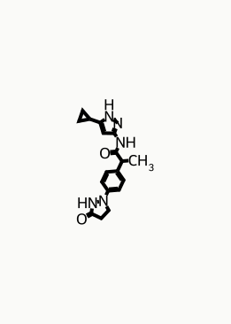 CC(C(=O)Nc1cc(C2CC2)[nH]n1)c1ccc(N2CCC(=O)N2)cc1